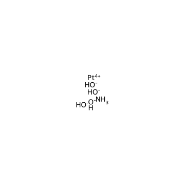 N.[OH-].[OH-].[OH-].[OH-].[Pt+4]